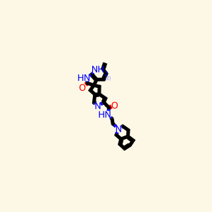 C=C/C=C\C1=C(N)NC(=O)C12Cc1cnc(C(=O)NCCN3CCc4ccccc4C3)cc1C2